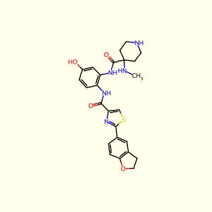 CNC1(C(=O)Nc2cc(O)ccc2NC(=O)c2csc(-c3ccc4c(c3)CCO4)n2)CCNCC1